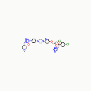 CN1CCC(Cn2ncn(-c3ccc(N4CCN(c5ccc(OC[C@@H]6CO[C@@](Cn7cnnn7)(c7ccc(Cl)cc7Cl)O6)cn5)CC4)cc3)c2=O)CC1